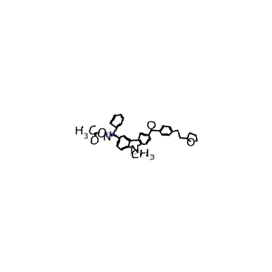 CC(=O)O/N=C(\c1ccccc1)c1ccc2c(c1)c1cc(C(=O)c3ccc(CCC4CCCO4)cc3)ccc1n2C